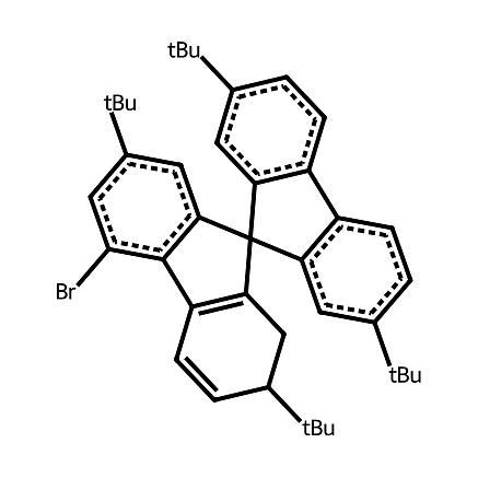 CC(C)(C)c1ccc2c(c1)C1(C3=C(C=CC(C(C)(C)C)C3)c3c(Br)cc(C(C)(C)C)cc31)c1cc(C(C)(C)C)ccc1-2